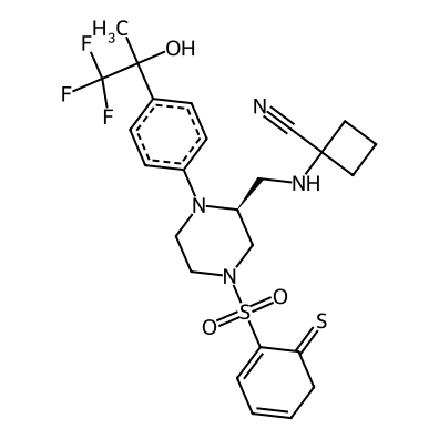 CC(O)(c1ccc(N2CCN(S(=O)(=O)C3=CC=CCC3=S)C[C@@H]2CNC2(C#N)CCC2)cc1)C(F)(F)F